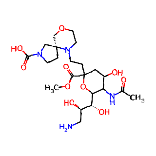 COC(=O)C1(CCN2CCOC[C@@]23CCN(C(=O)O)C3)CC(O)C(NC(C)=O)C([C@H](O)[C@H](O)CN)O1